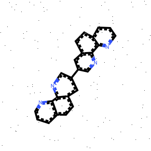 c1cnc2c(c1)ccc1cc(-c3cnc4c(ccc5cccnc54)c3)cnc12